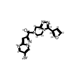 O=C(c1cc2ncc(Br)cn2n1)N1CCn2c(nnc2-c2ccoc2)C1